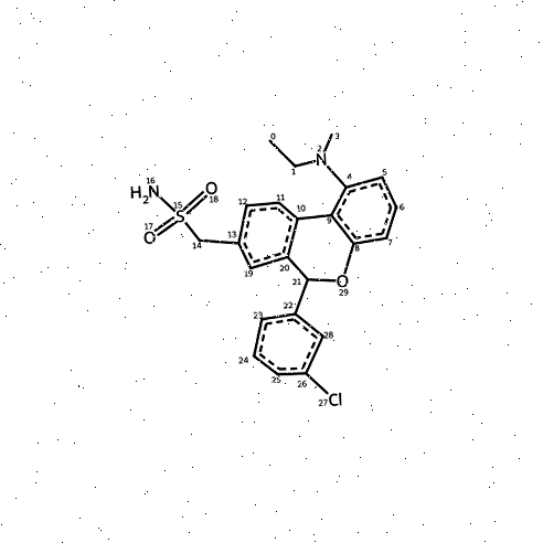 CCN(C)c1cccc2c1-c1ccc(CS(N)(=O)=O)cc1C(c1cccc(Cl)c1)O2